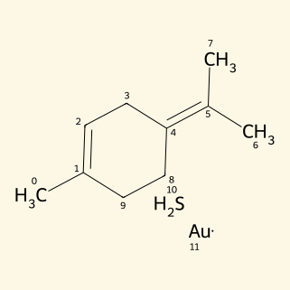 CC1=CCC(=C(C)C)CC1.S.[Au]